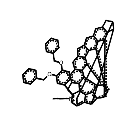 CN1CC2C3=c4c5c6c7c4c4c8c(cc9cc%10cc%11cc%12cc%13c(c%14c%12c%12c%11c%10c%10c9c8c7c%10c%12c%146)C5C(C3)C%13)CC42C1c1ccc(OCc2ccccc2)c(OCc2ccccc2)c1